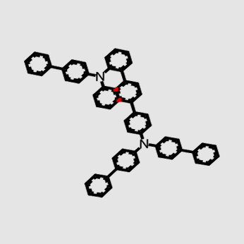 c1ccc(-c2ccc(N(c3ccc(-c4ccccc4)cc3)c3ccc(-c4ccc(-c5ccccc5N(c5ccccc5)c5ccc(-c6ccccc6)cc5)cc4)cc3)cc2)cc1